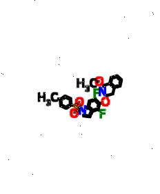 COC1=NC(Oc2c(F)cc3c(ccn3S(=O)(=O)c3ccc(C)cc3)c2F)Cc2ccccc21